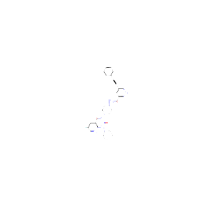 O=C(NC1CCC(n2c(=O)c3cc(F)cnc3n(C3CCSCC3)c2=O)CC1)c1cncc(C#Cc2ccccc2)c1